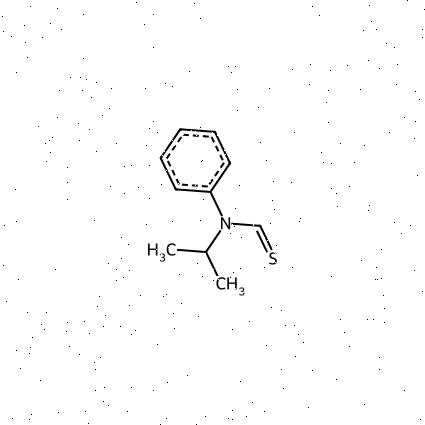 CC(C)N(C=S)c1ccccc1